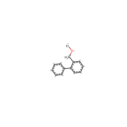 CCO[SiH2]c1ccccc1-c1ccccc1